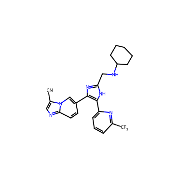 N#Cc1cnc2ccc(-c3nc(CNC4CCCCC4)[nH]c3-c3cccc(C(F)(F)F)n3)cn12